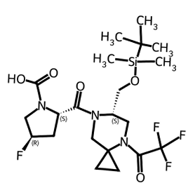 CC(C)(C)[Si](C)(C)OC[C@@H]1CN(C(=O)C(F)(F)F)C2(CC2)CN1C(=O)[C@@H]1C[C@@H](F)CN1C(=O)O